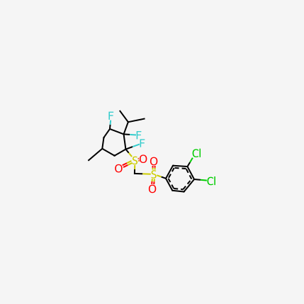 CC1CC(F)C(F)(C(C)C)C(F)(S(=O)(=O)CS(=O)(=O)c2ccc(Cl)c(Cl)c2)C1